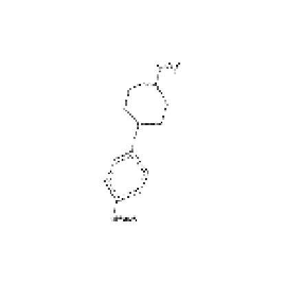 CCCCCCCc1ccc(C2CCC(C(=O)O)CC2)cc1